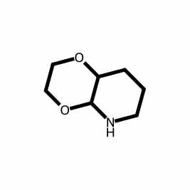 C1CNC2OCCOC2C1